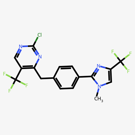 Cn1cc(C(F)(F)F)nc1-c1ccc(Cc2nc(Cl)ncc2C(F)(F)F)cc1